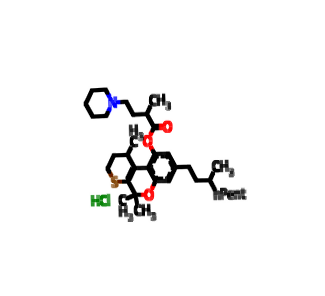 CCCCCC(C)CCc1cc(OC(=O)C(C)CCN2CCCCC2)c2c(c1)OC(C)(C)C1=C2C(C)CCS1.Cl